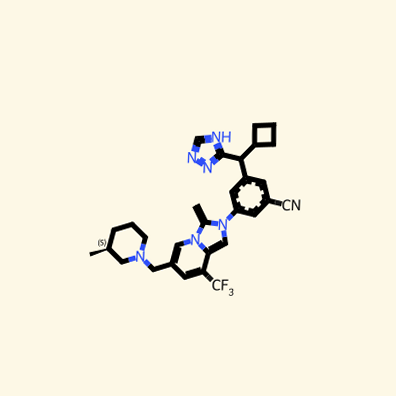 C=C1N2C=C(CN3CCC[C@H](C)C3)C=C(C(F)(F)F)C2=CN1c1cc(C#N)cc(C(c2nnc[nH]2)C2CCC2)c1